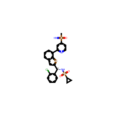 CS(=N)(=O)c1ccnc(-c2cccc3cc([C@H](NS(=O)(=O)C4CC4)c4ccccc4Cl)sc23)c1